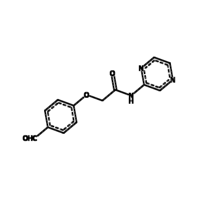 O=Cc1ccc(OCC(=O)Nc2cnccn2)cc1